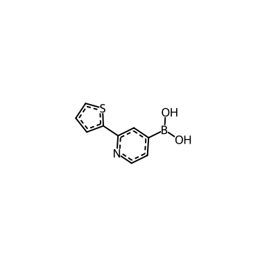 OB(O)c1ccnc(-c2cccs2)c1